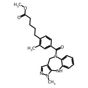 COC(=O)CCCCc1ccc(C(=O)N2Cc3cnn(C)c3Nc3ccccc32)cc1C